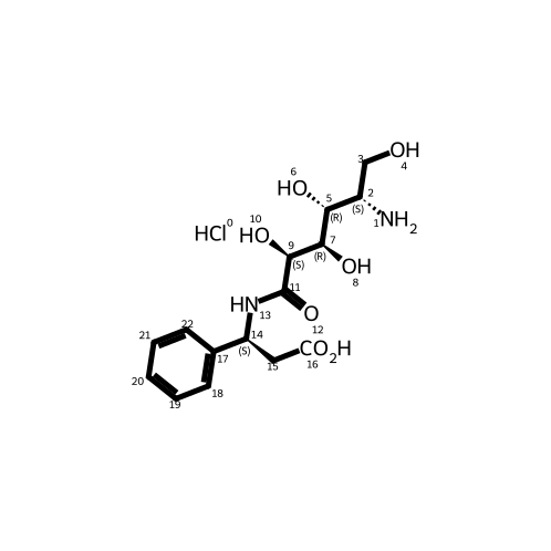 Cl.N[C@@H](CO)[C@@H](O)[C@@H](O)[C@H](O)C(=O)N[C@@H](CC(=O)O)c1ccccc1